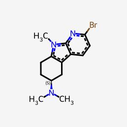 CN(C)[C@H]1CCc2c(c3ccc(Br)nc3n2C)C1